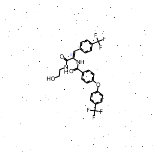 O=C(NCCO)/C(=C/c1ccc(C(F)(F)F)cc1)NC(=O)c1ccc(Oc2ccc(C(F)(F)F)cc2)cc1